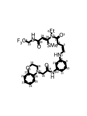 CCN(C(=O)C/C=C\Nc1cccc(NC(=O)CN2CCOc3ccccc32)c1)/C(=C/C(=O)NCC(F)(F)F)SC